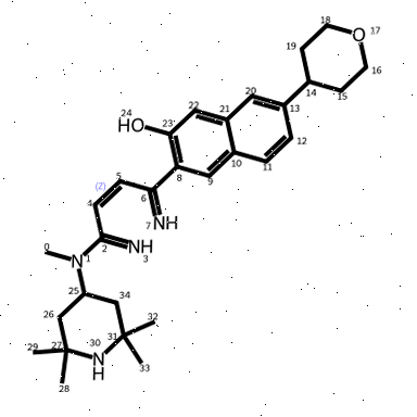 CN(C(=N)/C=C\C(=N)c1cc2ccc(C3CCOCC3)cc2cc1O)C1CC(C)(C)NC(C)(C)C1